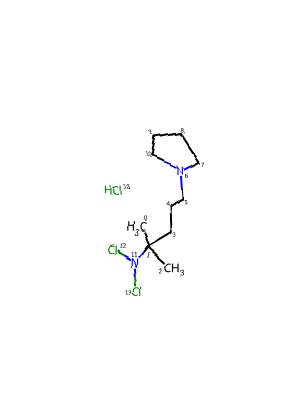 CC(C)(CCCN1CCCC1)N(Cl)Cl.Cl